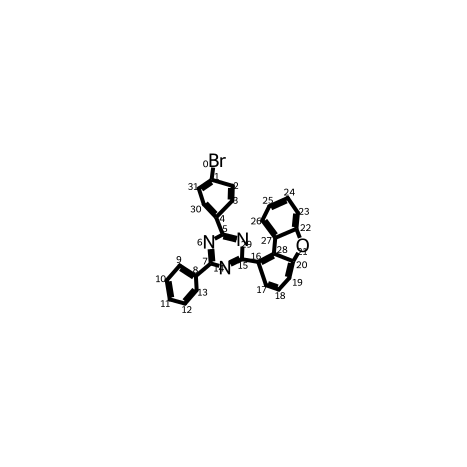 Brc1ccc(-c2nc(-c3ccccc3)nc(-c3cccc4oc5ccccc5c34)n2)cc1